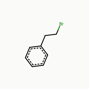 BrC[CH]c1ccccc1